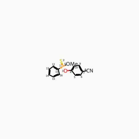 COP(=S)(Oc1ccc(C#N)cc1)c1ccccc1